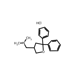 CN(C)CC1COC(c2ccccc2)(c2ccccc2)C1.Cl